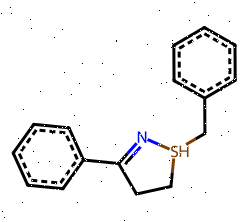 c1ccc(C[SH]2CCC(c3ccccc3)=N2)cc1